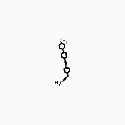 CC#CCc1ccc(C#Cc2ccc(C3CCC(C)CC3)cc2)cc1